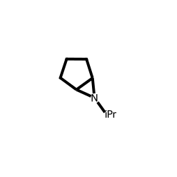 CC(C)N1C2CCCC21